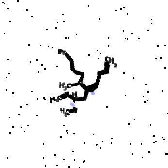 C=CC/C=C(/C/[PH](N=C)=N/C)N(C)CCCC(C)C